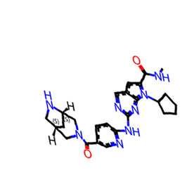 CNC(=O)c1cc2cnc(Nc3ccc(C(=O)N4C[C@@H]5CN[C@@H](C5)C4)cn3)nc2n1C1CCCC1